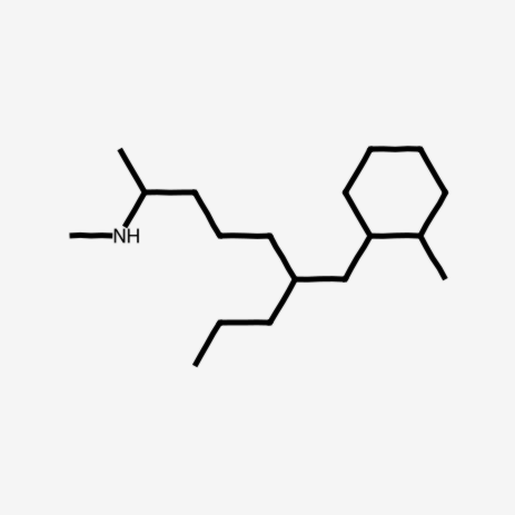 CCCC(CCCC(C)NC)CC1CCCCC1C